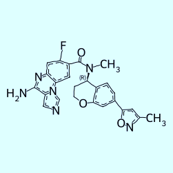 Cc1cc(-c2ccc3c(c2)OCC[C@H]3N(C)C(=O)c2cc3c(cc2F)nc(N)c2cncn23)on1